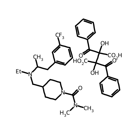 CCN(CC1CCN(C(=O)N(C)C)CC1)C(C)Cc1cccc(C(F)(F)F)c1.O=C(O)C(O)(C(=O)c1ccccc1)C(O)(C(=O)O)C(=O)c1ccccc1